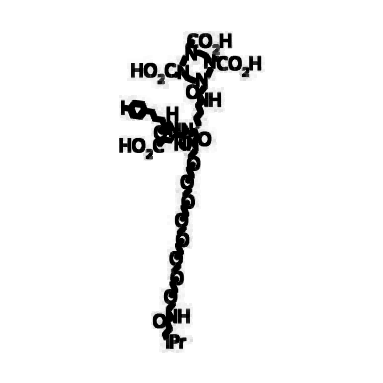 CC(C)CCC(=O)NCCOCCOCCOCCOCCOCCOCCOCCOCCNC(=O)[C@@H](CCCCNC(=O)CN1CCN(CC(=O)O)CCN(CC(=O)O)CCN(CC(=O)O)CC1)NC(=O)[C@@H](CCC(=O)O)NC(=O)CCCc1ccc(I)cc1